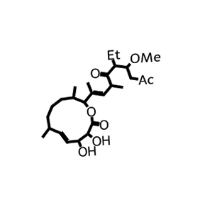 CCC(C(=O)C(C)/C=C(\C)C1OC(=O)C(O)C(O)/C=C/C(C)CCCC1C)C(CC(C)=O)OC